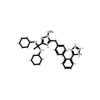 CCCCn1nc(C(C)(OC2CCCCC2)OC2CCCCC2)nc1Cc1ccc(-c2ccccc2-c2nnn[nH]2)cc1